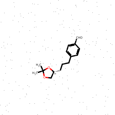 CC1(C)OC[C@@H](CCCc2ccc(C=O)cc2)O1